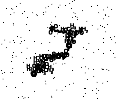 CN[C@H](C(=O)N[C@H](C(=O)N(C)[C@H](/C=C(\C)C(=O)NS(=O)(=O)c1ccc(C2(NC(=O)OCc3ccc(NC(=O)[C@@H](CCCNC(N)=O)NC(=O)[C@H](NC(=O)CCCCCN4C(=O)C=CC4=O)C(C)C)cc3)CC2)cc1)C(C)C)C(C)(C)C)C(C)(C)c1ccccc1